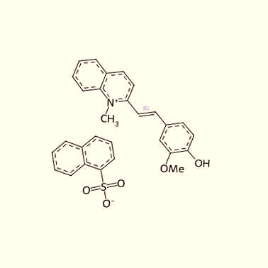 COc1cc(/C=C/c2ccc3ccccc3[n+]2C)ccc1O.O=S(=O)([O-])c1cccc2ccccc12